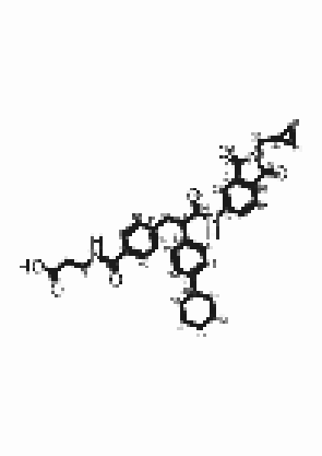 O=C(O)CCNC(=O)c1ccc(CC(C(=O)Nc2ccc3c(c2)C(=O)N(CC2CC2)C3=O)c2ccc(C3CCCCC3)cc2)cc1